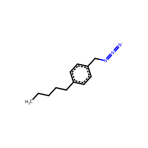 CCCCCc1ccc(CN=[N+]=[N-])cc1